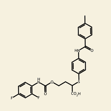 Cc1ccc(C(=O)Nc2ccc(SC(CCOC(=O)Nc3ccc(F)cc3F)C(=O)O)cc2)cc1